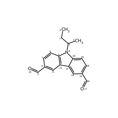 CCC(C)n1c2ccc(C=O)cc2c2cc(C=O)ccc21